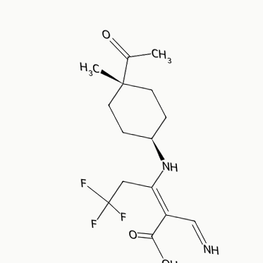 CC(=O)[C@]1(C)CC[C@@H](N/C(CC(F)(F)F)=C(\C=N)C(=O)O)CC1